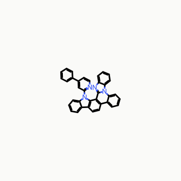 c1ccc(-c2ccnc(-n3c4ccccc4c4ccc5c6ccccc6n6c7ccccc7nc6c5c43)c2)cc1